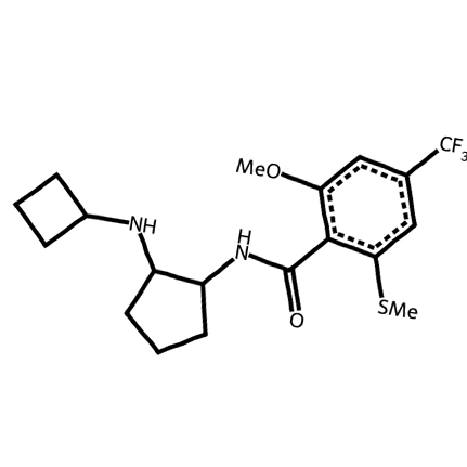 COc1cc(C(F)(F)F)cc(SC)c1C(=O)NC1CCCC1NC1CCC1